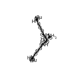 CC(C)(C)OC(=O)NCCOCCOCCOCCC(=O)NCCNC(=O)[C@H](CCC(N)=O)NCCNC(=O)CCOCCOCCOCCNC(=O)OC(C)(C)C